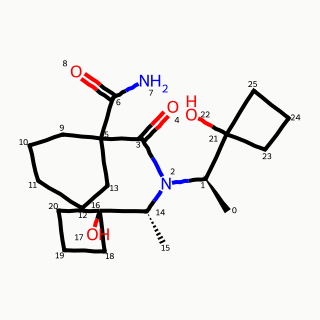 C[C@@H](N(C(=O)C1(C(N)=O)CCCCC1)[C@H](C)C1(O)CCC1)C1(O)CCC1